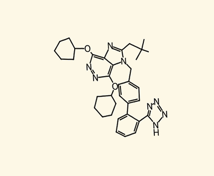 CC(C)(C)Cc1nc2c(OC3CCCCC3)nnc(OC3CCCCC3)c2n1Cc1ccc(-c2ccccc2-c2nnn[nH]2)cc1